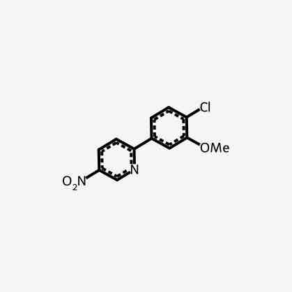 COc1cc(-c2ccc([N+](=O)[O-])cn2)ccc1Cl